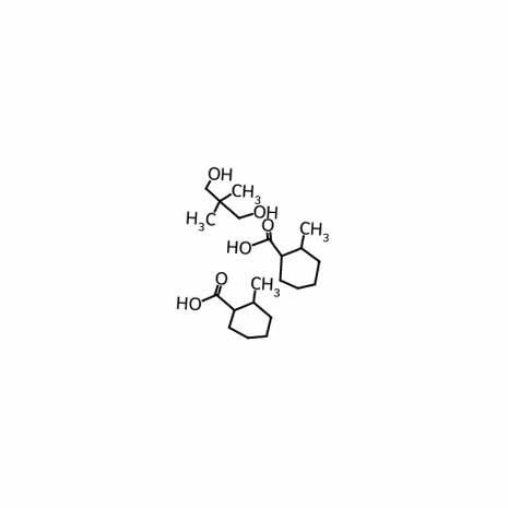 CC(C)(CO)CO.CC1CCCCC1C(=O)O.CC1CCCCC1C(=O)O